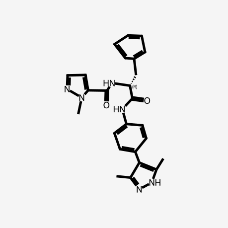 Cc1n[nH]c(C)c1-c1ccc(NC(=O)[C@@H](Cc2ccccc2)NC(=O)c2ccnn2C)cc1